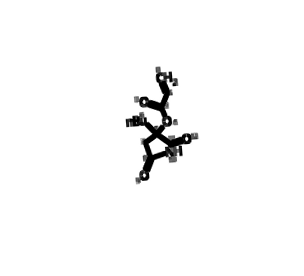 C=CC(=O)OC1(CCCC)CC(=O)NC1=O